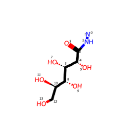 [N]NC(=O)[C@H](O)[C@@H](O)[C@H](O)[C@H](O)CO